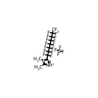 Cc1[nH+]nc(C(F)(F)C(F)(F)C(F)(F)C(F)(F)C(F)(F)C(F)(F)C(F)(F)C(F)(F)F)n1C.F[B-](F)(F)F